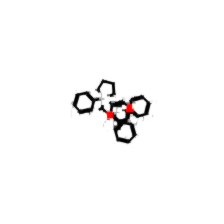 CC(C(C)P1(c2ccccc2)(c2ccccc2)CCCC1)P(=O)(c1ccccc1)c1ccccc1